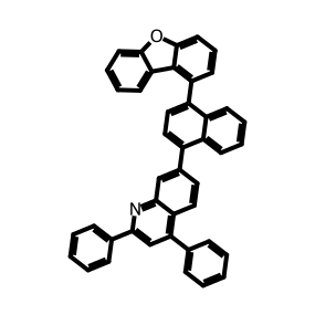 c1ccc(-c2cc(-c3ccccc3)c3ccc(-c4ccc(-c5cccc6oc7ccccc7c56)c5ccccc45)cc3n2)cc1